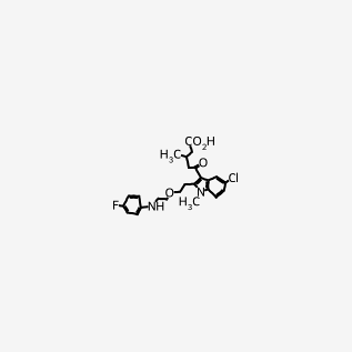 CC(CC(=O)O)CC(=O)c1c(CCOCCNc2ccc(F)cc2)n(C)c2ccc(Cl)cc12